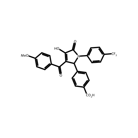 COc1ccc(C(=O)C2=C(O)C(=O)N(c3ccc(C(F)(F)F)cc3)C2c2ccc(C(=O)O)cc2)cc1